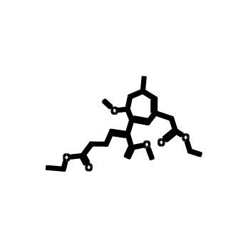 C=C(OC)/C(=C\CCC(=O)OCC)C1=CC(CC(=O)OCC)=CC(C)CC1OC